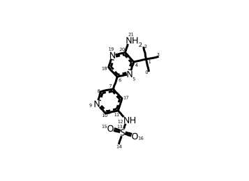 CC(C)(C)c1nc(-c2cncc(NS(C)(=O)=O)c2)cnc1N